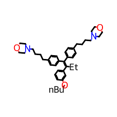 CCCCOc1cccc(C(CC)=C(c2ccc(CCCCN3CCOCC3)cc2)c2ccc(CCCCN3CCOCC3)cc2)c1